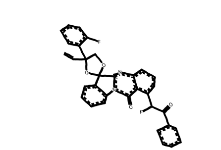 C=CC1(c2ccccc2F)COC2(O1)c1ccccc1-n1c2nc2cccc(C(F)C(=O)c3ccccc3)c2c1=O